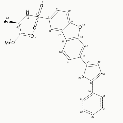 COC(=O)[C@H](NS(=O)(=O)c1ccc2oc3cc(-c4ccc(-c5ccccc5)s4)ccc3c2c1)C(C)C